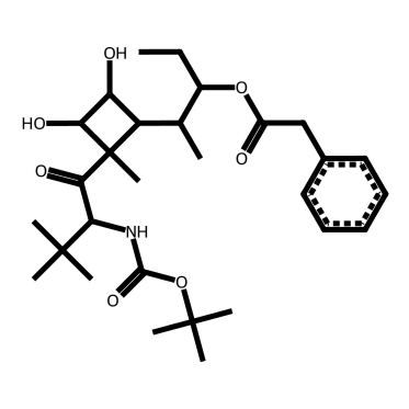 CCC(OC(=O)Cc1ccccc1)C(C)C1C(O)C(O)C1(C)C(=O)C(NC(=O)OC(C)(C)C)C(C)(C)C